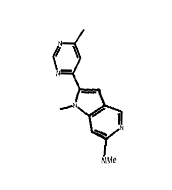 CNc1cc2c(cn1)cc(-c1cc(C)ncn1)n2C